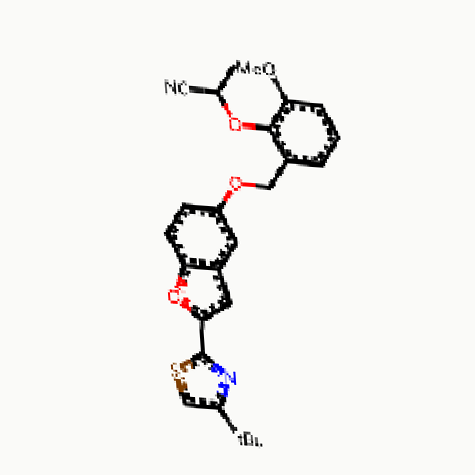 COc1cccc(COc2ccc3oc(-c4nc(C(C)(C)C)cs4)cc3c2)c1OC(C)C#N